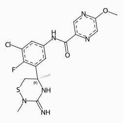 COc1cnc(C(=O)Nc2cc(Cl)c(F)c([C@]3(C)CSN(C)C(=N)N3)c2)cn1